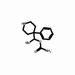 CC(C)(C)C(OC(N)=O)C1(c2ccccc2)CCNCC1